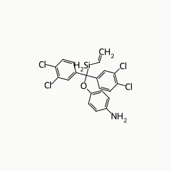 C=C[SiH2]C(Oc1ccc(N)cc1)(c1ccc(Cl)c(Cl)c1)c1ccc(Cl)c(Cl)c1